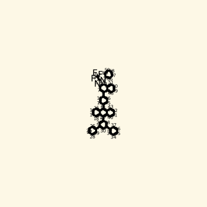 FC(F)(F)c1nc2cc(-c3ccc(-c4c5ccccc5c(-c5cc(-c6ccccc6)cc(-c6ccccc6)c5)c5ccccc45)cc3)c3ccccc3c2n1-c1ccccc1